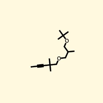 CC#CC(C)(C)COCC(C)COC(C)(C)C